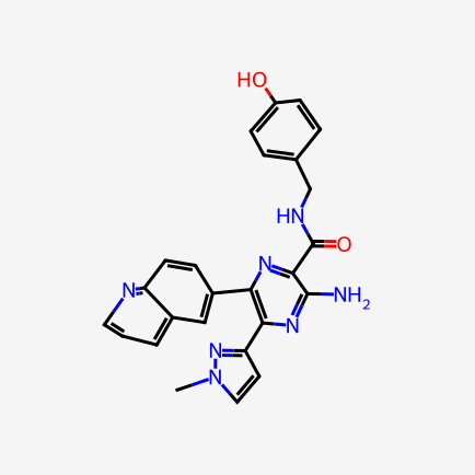 Cn1ccc(-c2nc(N)c(C(=O)NCc3ccc(O)cc3)nc2-c2ccc3ncccc3c2)n1